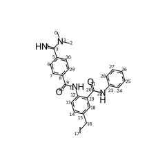 CN(C)C(=N)c1ccc(C(=O)Nc2ccc(CI)cc2C(=O)Nc2ccccc2)cc1